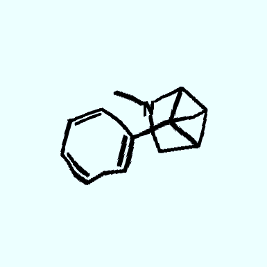 CN1CC2C3C1C23c1ccccc1